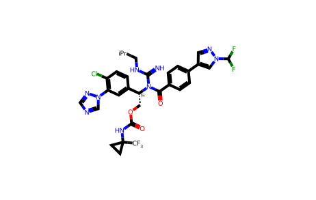 CC(C)CNC(=N)N(C(=O)c1ccc(-c2cnn(C(F)F)c2)cc1)[C@H](COC(=O)NC1(C(F)(F)F)CC1)c1ccc(Cl)c(-n2cncn2)c1